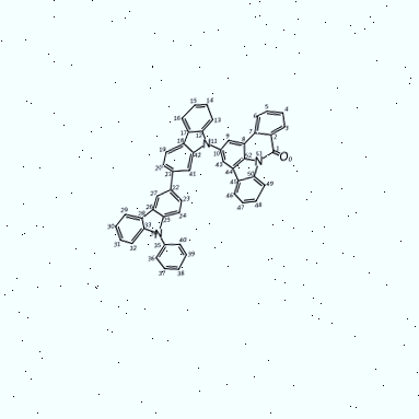 O=c1c2ccccc2c2cc(-n3c4ccccc4c4ccc(-c5ccc6c(c5)c5ccccc5n6-c5ccccc5)cc43)cc3c4ccccc4n1c23